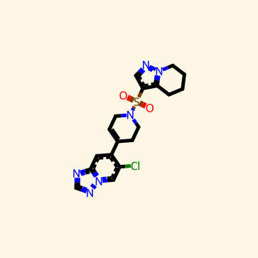 O=S(=O)(c1cnn2c1CCCC2)N1CC=C(c2cc3ncnn3cc2Cl)CC1